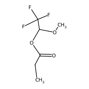 CCC(=O)OC(OC)C(F)(F)F